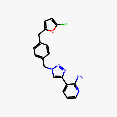 Nc1ncccc1-c1cn(Cc2ccc(Cc3ccc(Cl)o3)cc2)nn1